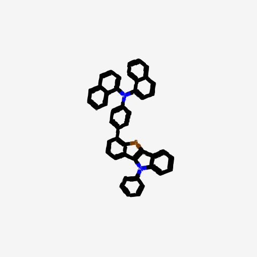 c1ccc(-n2c3ccccc3c3sc4c(-c5ccc(N(c6cccc7ccccc67)c6cccc7ccccc67)cc5)cccc4c32)cc1